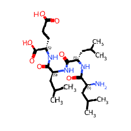 CC(C)C[C@H](NC(=O)[C@H](CC(C)C)NC(=O)[C@@H](N)CC(C)C)C(=O)N[C@@H](CCC(=O)O)C(=O)O